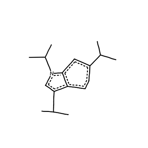 CC(C)c1ccc2c(C(C)C)cn(C(C)C)c2c1